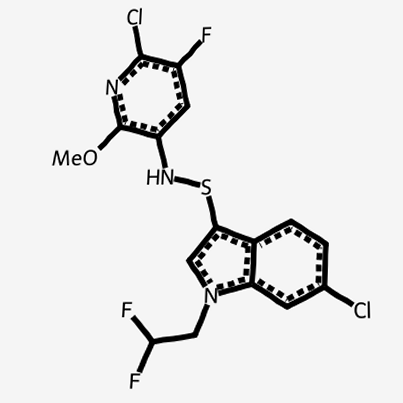 COc1nc(Cl)c(F)cc1NSc1cn(CC(F)F)c2cc(Cl)ccc12